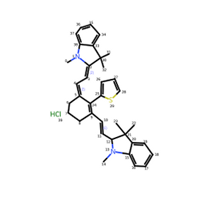 CN1/C(=C\C=C2\CCCC(/C=C/C3N(C)c4ccccc4C3(C)C)=C2c2cccs2)C(C)(C)c2ccccc21.Cl